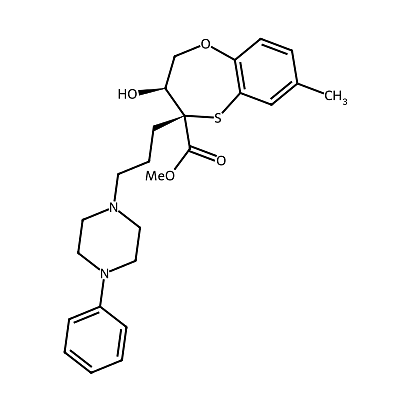 COC(=O)[C@@]1(CCCN2CCN(c3ccccc3)CC2)Sc2cc(C)ccc2OC[C@@H]1O